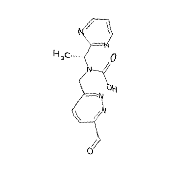 C[C@H](c1ncccn1)N(Cc1ccc(C=O)nn1)C(=O)O